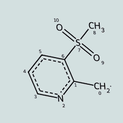 [CH2]c1ncccc1S(C)(=O)=O